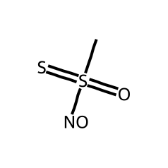 CS(=O)(=S)N=O